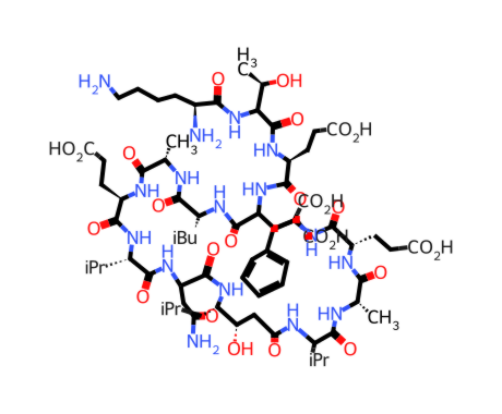 CC[C@@H](C)C(NC(=O)C(CCC(=O)O)NC(=O)[C@H](CCC(=O)O)NC(=O)C(NC(=O)[C@@H](N)CCCCN)[C@@H](C)O)C(=O)N[C@@H](C)C(=O)N[C@H](CCC(=O)O)C(=O)N[C@H](C(=O)NC(CC(N)=O)C(=O)N[C@@H](CC(C)C)[C@@H](O)CC(=O)NC(C(=O)N[C@@H](C)C(=O)N[C@@H](CCC(=O)O)C(=O)NC(Cc1ccccc1)C(=O)O)C(C)C)C(C)C